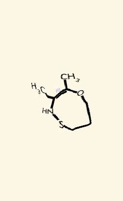 C/C1=C(\C)OCCCSN1